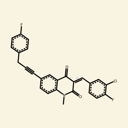 CN1C(=O)/C(=C\c2ccc(F)c(Cl)c2)C(=O)c2cc(C#CCc3ccc(F)cc3)ccc21